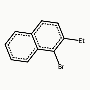 CCc1ccc2ccccc2c1Br